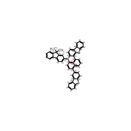 CC1(C)c2ccccc2-c2ccc(N(c3ccc(-c4ccc5sc6ccccc6c5c4)cc3)c3ccc4c(sc5ccccc54)c3-c3ccccc3)cc21